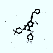 COc1cc2c(NC3CCS(=O)(=O)CC3)nc(N3CCC(F)(F)CC3)nc2cc1C#CCN1CCCC1